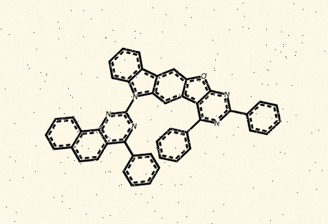 c1ccc(-c2nc(-c3ccccc3)c3c(n2)oc2cc4c5ccccc5n(-c5nc(-c6ccccc6)c6ccc7ccccc7c6n5)c4cc23)cc1